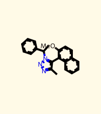 COc1ccc2ccccc2c1-c1c(C)nnn1C(C)c1ccccc1